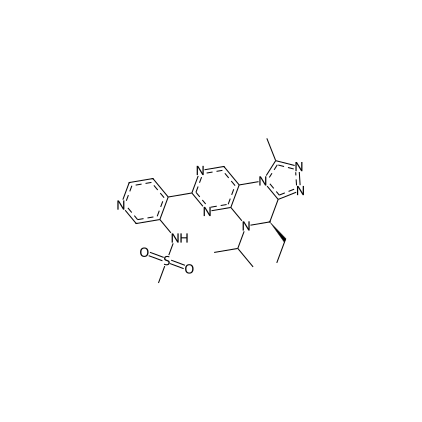 CC[C@@H]1c2nnc(C)n2-c2cnc(-c3ccncc3NS(C)(=O)=O)nc2N1C(C)C